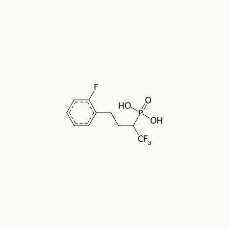 O=P(O)(O)C(CCc1ccccc1F)C(F)(F)F